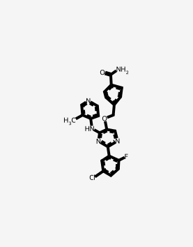 Cc1cnccc1Nc1nc(-c2cc(Cl)ccc2F)ncc1OCc1ccc(C(N)=O)cc1